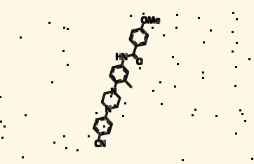 COc1ccc(C(=O)Nc2ccc(N3CCN(c4ccc(C#N)cc4)CC3)c(C)c2)cc1